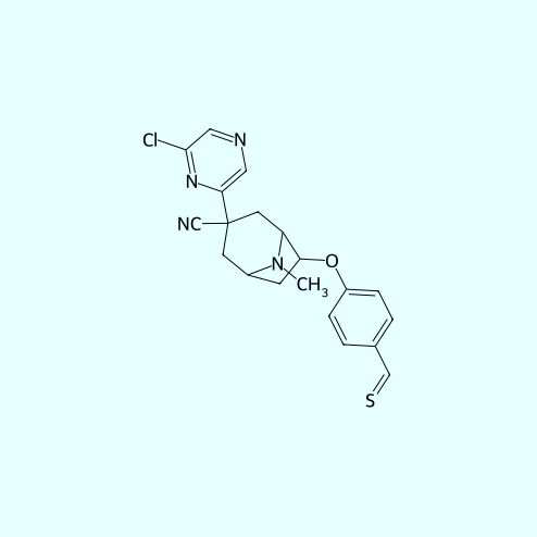 CN1C2CC(Oc3ccc(C=S)cc3)C1CC(C#N)(c1cncc(Cl)n1)C2